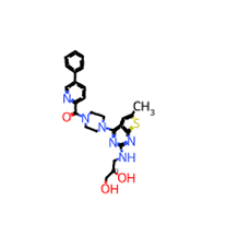 Cc1cc2c(N3CCN(C(=O)c4ccc(-c5ccccc5)cn4)CC3)nc(NC[C@@H](O)CO)nc2s1